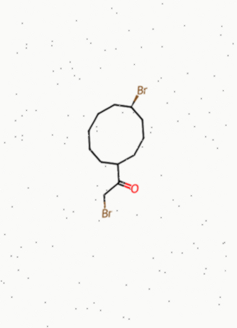 O=C(CBr)C1CCCCC[C@@H](Br)CCC1